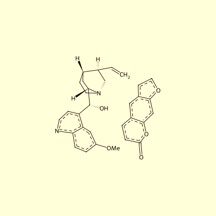 C=C[C@H]1C[N@]2CC[C@H]1C[C@H]2[C@H](O)c1ccnc2ccc(OC)cc12.O=c1ccc2cc3ccoc3cc2o1